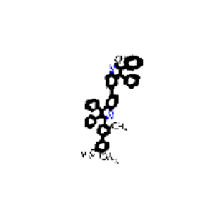 Cc1ccc(-c2ccc(-c3nc4ccc(-c5ccc6nc(C)c(-c7ccccc7)c(-c7ccccc7)c6c5)cc4c(-c4ccccc4)c3-c3ccccc3)c(C)c2)cc1C